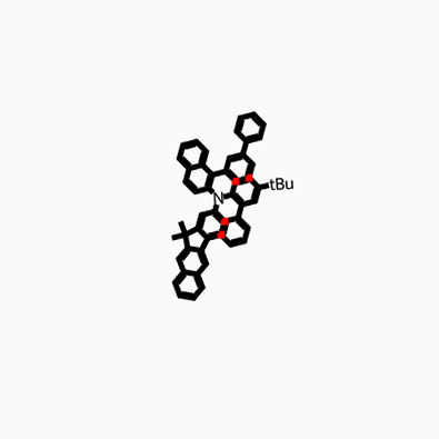 CC(C)(C)c1ccc(N(c2ccc3c(c2)C(C)(C)c2cc4ccccc4cc2-3)c2ccc3ccccc3c2-c2cccc(-c3ccccc3)c2)c(-c2ccccc2)c1